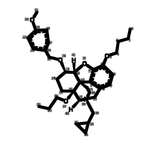 CCCCOc1ccc2c3c1O[C@H]1[C@H](OCc4ccc(OC)cc4)CC[C@@]4(OCCC)[C@@H](C2)N(CC2CC2)CC[C@]314